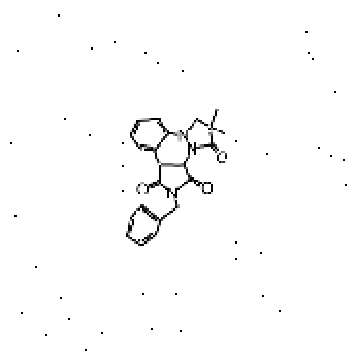 CC1(C)CN2c3ccccc3C3C(=O)N(Cc4ccccc4)C(=O)C3N2C1=O